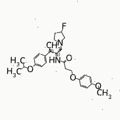 COc1ccc(OCCC(=O)N[C@H](CN2CCC(F)C2)[C@H](C)c2ccc(OC(C)C)cc2)cc1